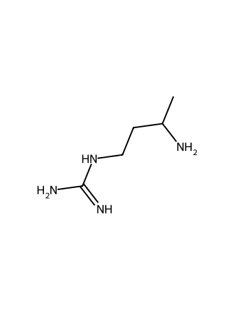 CC(N)CCNC(=N)N